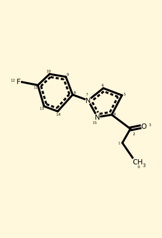 CCC(=O)c1ccn(-c2ccc(F)cc2)n1